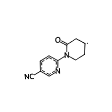 N#Cc1ccc(N2CC[CH]CC2=O)nc1